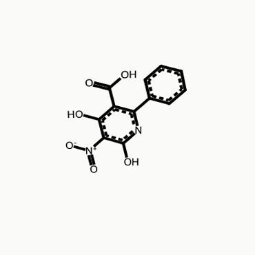 O=C(O)c1c(-c2ccccc2)nc(O)c([N+](=O)[O-])c1O